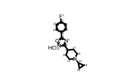 Cl.Fc1ccc(-c2nc(C3CCN(C4CC4)CC3)no2)cc1